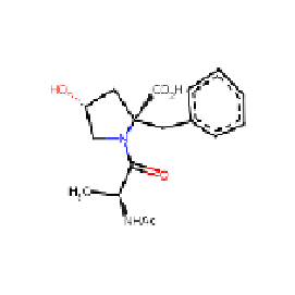 CC(=O)N[C@@H](C)C(=O)N1C[C@H](O)C[C@@]1(Cc1ccccc1)C(=O)O